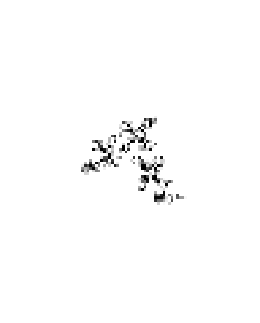 O=S(=O)([O-])[O-].O=S(=O)([O-])[O-].O=S(=O)([O-])[O-].[Mo+3].[Mo+3]